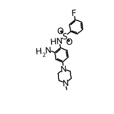 CN1CCN(c2ccc(NS(=O)(=O)c3cccc(F)c3)c(N)c2)CC1